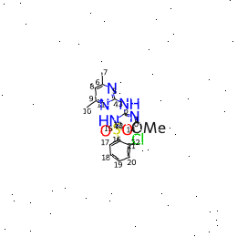 CON=C(Nc1nc(C)cc(C)n1)NS(=O)(=O)c1ccccc1Cl